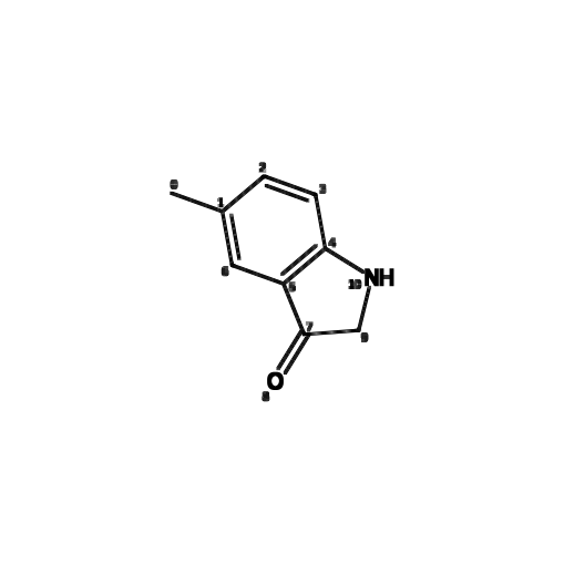 Cc1ccc2c(c1)C(=O)CN2